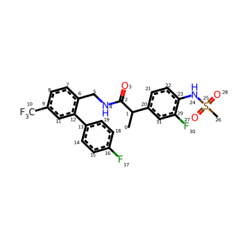 CC(C(=O)NCc1ccc(C(F)(F)F)cc1-c1ccc(F)cc1)c1ccc(NS(C)(=O)=O)c(F)c1